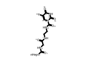 CCCCCCCC(=O)NCC(=O)NCCNC(=O)n1cc(F)c(=O)[nH]c1=O